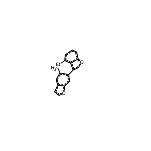 CCc1cccc2occ(-c3cc4occc4cc3C)c12